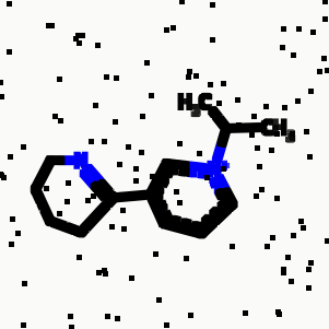 CC(C)[n+]1cccc(C2=NCCCC2)c1